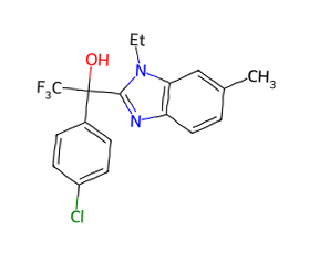 CCn1c(C(O)(c2ccc(Cl)cc2)C(F)(F)F)nc2ccc(C)cc21